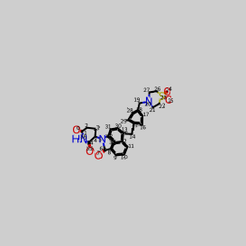 O=C1CCC(N2C(=O)c3cccc4c(Cc5ccc(CN6CCS(=O)(=O)CC6)cc5)ccc2c34)C(=O)N1